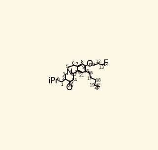 CC(C)CC1CN2CCc3cc(OCCCF)c(CCCCF)cc3C2CC1=O